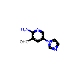 Nc1ncc(-n2ccnc2)cc1C=O